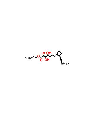 CCCCCCC#C[C@H]1CCC[C@@H]1CCC[C@H](O)C(O)=C(O)C(=O)OCCCCCCCCCCCC